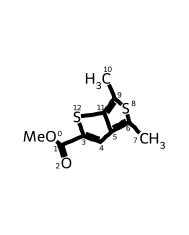 COC(=O)c1cc2c(C)sc(C)c2s1